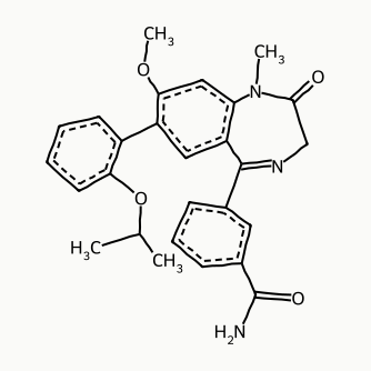 COc1cc2c(cc1-c1ccccc1OC(C)C)C(c1cccc(C(N)=O)c1)=NCC(=O)N2C